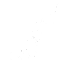 Cc1cc(Cn2cc3c(NC(=O)C4CC4)nccc3n2)cnc1OCC(F)F